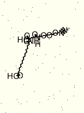 [N-]=[N+]=NCCOCCOCCOCCNC(=O)CCC(NC(=O)CCCCCCCCCCCCCCCCC(=O)O)C(=O)O